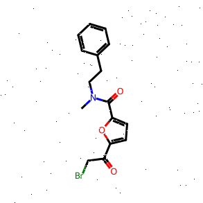 CN(CCc1ccccc1)C(=O)c1ccc(C(=O)CBr)o1